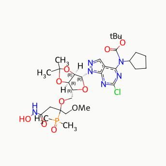 COCC(CC(=O)NO)(OC[C@H]1O[C@@H](n2ncc3c(N(C(=O)OC(C)(C)C)C4CCCC4)nc(Cl)nc32)[C@@H]2OC(C)(C)O[C@@H]21)P(C)(C)=O